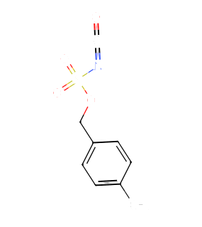 O=C=NS(=O)(=O)OCc1ccc(C(F)(F)F)cc1